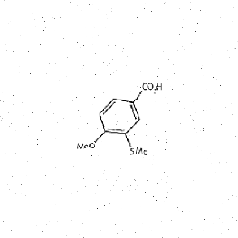 COc1ccc(C(=O)O)cc1SC